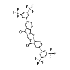 O=c1c2cc(-c3cc(C(F)(F)F)cc(C(F)(F)F)c3)ccc2c2cc3c(cc12)c(=O)c1cc(-c2cc(C(F)(F)F)cc(C(F)(F)F)c2)ccc13